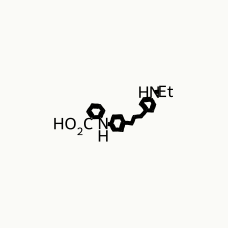 CCNc1ccc(CCCc2ccc(Nc3ccccc3C(=O)O)cc2)cc1